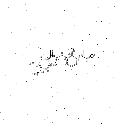 O=CNc1cccn(Cc2nc3cc(F)c(F)cc3[nH]2)c1=O